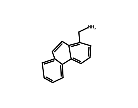 NCc1cccc2c1ccc1ccccc12